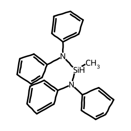 C[SiH](N(c1ccccc1)c1ccccc1)N(c1ccccc1)c1ccccc1